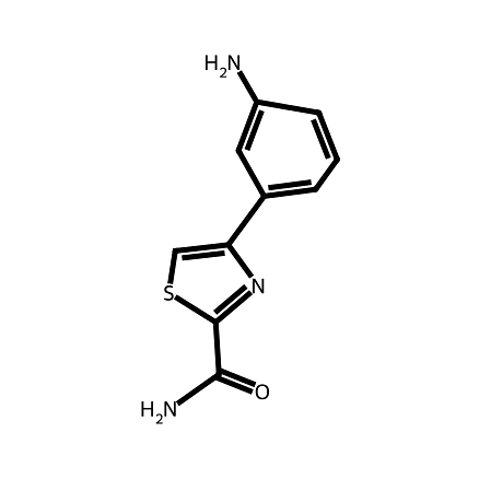 NC(=O)c1nc(-c2cccc(N)c2)cs1